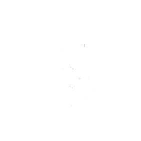 C=C(C)CN1C(=O)C(C)(C)SC1=NOC(=O)NC